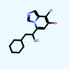 CCc1c(Br)cc(C(CC2CCCCC2)N=O)n2cncc12